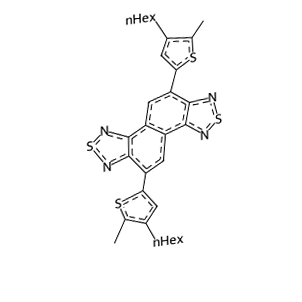 CCCCCCc1cc(-c2cc3c(cc(-c4cc(CCCCCC)c(C)s4)c4nsnc43)c3nsnc23)sc1C